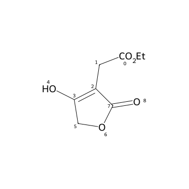 CCOC(=O)CC1=C(O)COC1=O